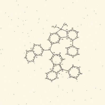 CC1(C)c2ccc(N(c3ccc4ccccc4c3)c3ccc4c(c3)c3ccccc3n4-c3ccccc3)cc2-c2c(-c3ccccc3)cccc21